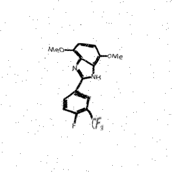 COc1ccc(OC)c2[nH]c(-c3ccc(F)c(C(F)(F)F)c3)nc12